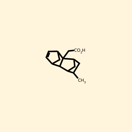 CC1CC2CC1C1C3C=CC(C3)C21CC(=O)O